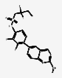 CCC(F)(F)CS(=O)(=O)Nc1ccc(-c2ccc3nc(NC)ncc3c2)c(F)c1F